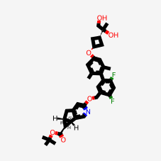 Cc1cc(O[C@H]2C[C@@H](C(C)(O)CO)C2)cc(C)c1-c1cc(COc2cc3c(cn2)[C@H]2[C@@H](C3)[C@@H]2C(=O)OC(C)(C)C)c(F)cc1F